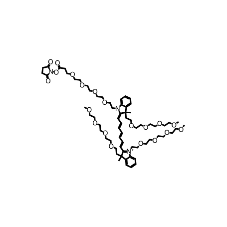 COCCOCCOCCOCC[N+]1=C(/C=C/C=C/C=C/C=C2/N(CCOCCOCCOCCOCCC(=O)ON3C(=O)CCC3=O)c3ccccc3C2(C)CCOCCOCCOCCOC)C(C)(CCOCCOCCOCCOC)c2ccccc21